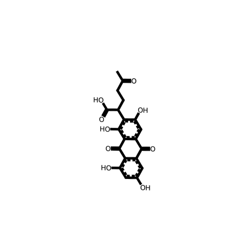 CC(=O)CCC(C(=O)O)c1c(O)cc2c(c1O)C(=O)c1c(O)cc(O)cc1C2=O